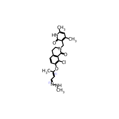 CN/N=C\C=C(/C)Oc1ccc2c(c1Cl)C(=O)N(Cc1c(C)cc(C)[nH]c1=O)CC2